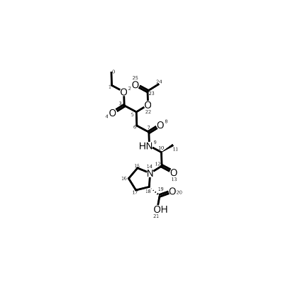 CCOC(=O)C(CC(=O)N[C@@H](C)C(=O)N1CCC[C@H]1C(=O)O)OC(C)=O